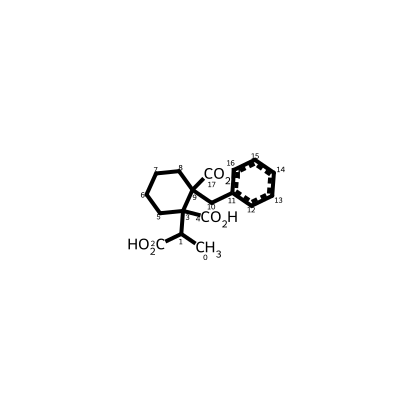 CC(C(=O)O)C1(C(=O)O)CCCCC1(Cc1ccccc1)C(=O)O